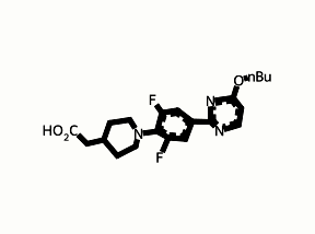 CCCCOc1ccnc(-c2cc(F)c(N3CCC(CC(=O)O)CC3)c(F)c2)n1